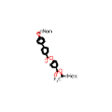 CCCCCCCCCOc1ccc(-c2ccc(C(=O)Oc3ccc(C(=O)OC(CCCCCC)C(F)(F)F)cc3)cc2)cc1